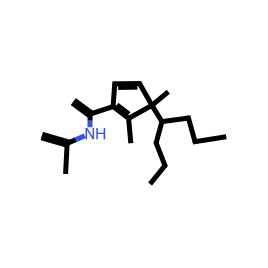 C=C(C)NC(=C)C1=C(C)C(C)(C(CCC)CCC)C=C1